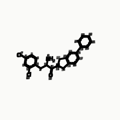 NC(Cc1ccc(Cl)cc1Cl)C(=O)N1Cc2ccc(-c3ccccc3)cc2C1